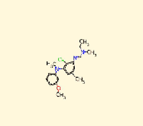 CCN(C)C=Nc1cc(C)cc(N(C)c2cccc(OC)c2)c1Cl